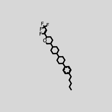 CCCCCc1ccc(C2CCC(C3CCC(C4CCC(/C(F)=C/C(F)(F)F)OC4)CC3)CC2)cc1